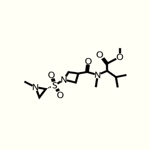 COC(=O)C(C(C)C)N(C)C(=O)C1CN(S(=O)(=O)[C@@H]2CN2C)C1